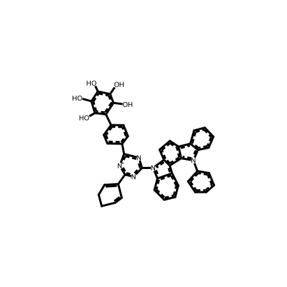 Oc1c(O)c(O)c(-c2ccc(-c3nc(C4=CCCC=C4)nc(-n4c5ccccc5c5c4ccc4c6ccccc6n(-c6ccccc6)c45)n3)cc2)c(O)c1O